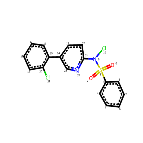 O=S(=O)(c1ccccc1)N(Cl)c1ccc(-c2ccccc2Cl)cn1